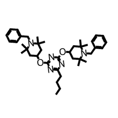 CCCCc1nc(OC2CC(C)(C)N(Cc3ccccc3)C(C)(C)C2)nc(OC2CC(C)(C)N(Cc3ccccc3)C(C)(C)C2)n1